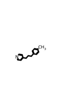 Cc1ccc(CCCc2ccncc2)cc1